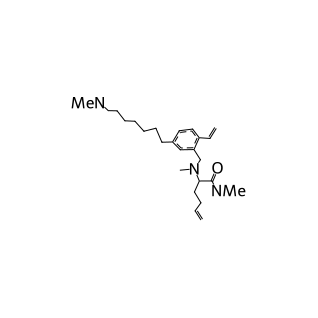 C=CCCC(C(=O)NC)N(C)Cc1cc(CCCCCCCNC)ccc1C=C